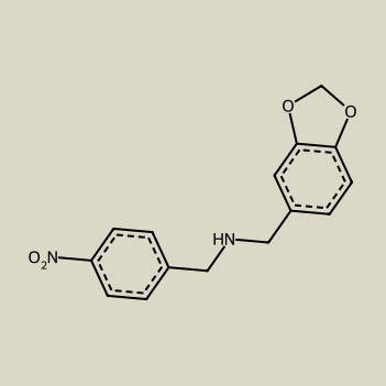 O=[N+]([O-])c1ccc(CNCc2ccc3c(c2)OCO3)cc1